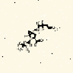 C=CCC(F)(F)C(=O)NC[C@]12C[C@@H](C(=O)O)N(C(=O)OC(C)(C)C)[C@@H]1C2